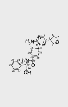 Nc1ncc([C@@H]2CCOC2)nc1-c1ccc(C(=O)N[C@H](CO)c2ccccc2)cc1